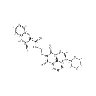 O=C(NCCN1C(=O)c2cccc3c(N4CCSCC4)ccc(c23)C1=O)c1cc2ccccc2oc1=O